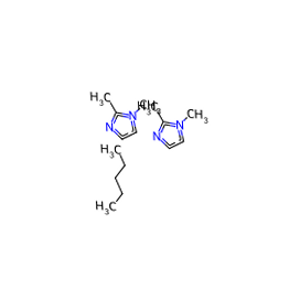 CCCCC.Cc1nccn1C.Cc1nccn1C